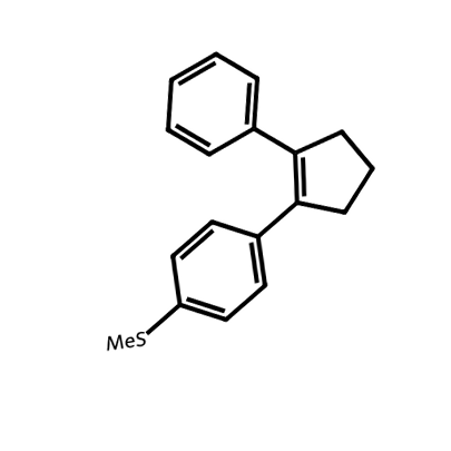 CSc1ccc(C2=C(c3ccccc3)CCC2)cc1